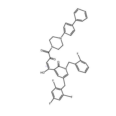 O=C(/C=C(/O)c1cc(Cc2c(F)cc(F)cc2F)cn(Cc2ccccc2F)c1=O)C(=O)N1CCN(c2ccc(-c3ccccc3)cc2)CC1